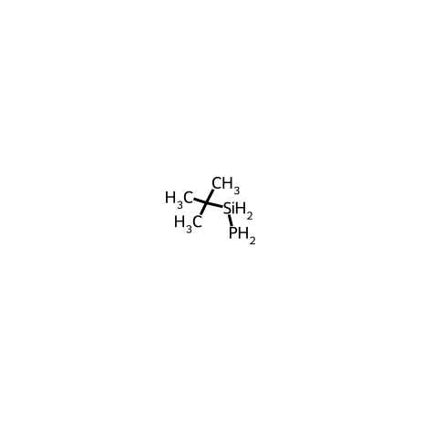 CC(C)(C)[SiH2]P